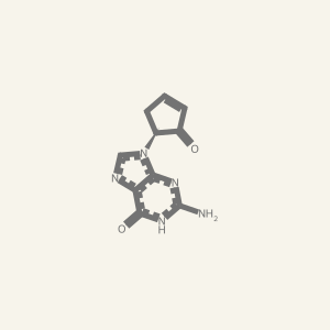 Nc1nc2c(ncn2[C@H]2CC=CC2=O)c(=O)[nH]1